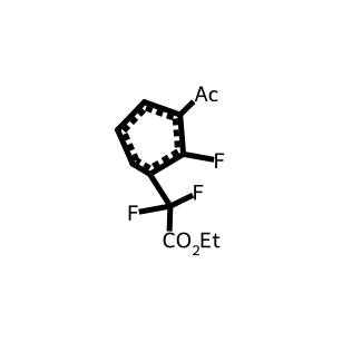 CCOC(=O)C(F)(F)c1cccc(C(C)=O)c1F